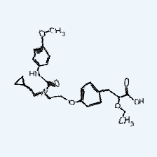 CCOC(Cc1ccc(OCCN(CC2CC2)C(=O)Nc2ccc(OC)cc2)cc1)C(=O)O